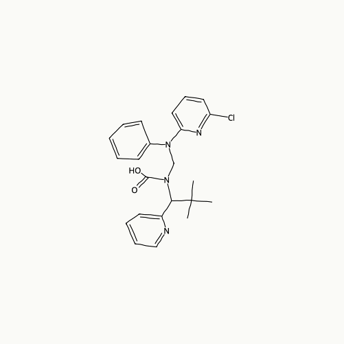 CC(C)(C)C(c1ccccn1)N(CN(c1ccccc1)c1cccc(Cl)n1)C(=O)O